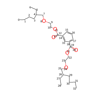 CCCCC(CC)COCCOC(=O)c1cccc(C(=O)OCCOCC(CC)CCCC)c1